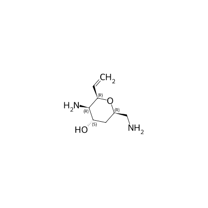 C=C[C@H]1O[C@@H](CN)C[C@H](O)[C@H]1N